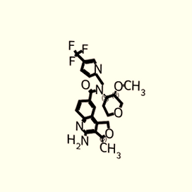 CO[C@H]1COCC[C@@H]1N(Cc1ccc(C(F)(F)F)cn1)C(=O)c1ccc2nc(N)c3c(c2c1)CO[C@H]3C